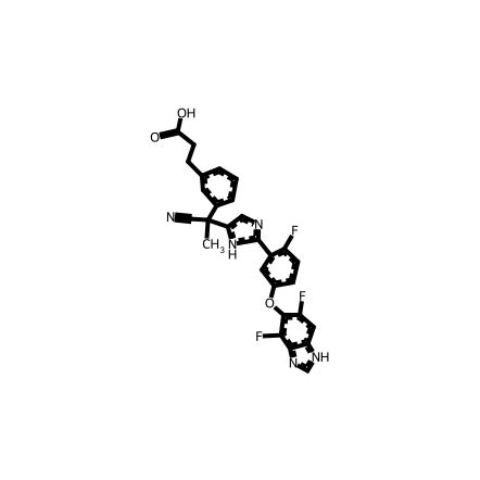 CC(C#N)(c1cccc(CCC(=O)O)c1)c1cnc(-c2cc(Oc3c(F)cc4[nH]cnc4c3F)ccc2F)[nH]1